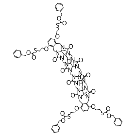 C[C@]12N3Cc4c(OCCSC(=O)OCc5ccccc5)ccc(OCCSC(=O)OCc5ccccc5)c4CN1C(=O)N1CN4C(=O)N5CN6C(=O)N7CN8C(=O)N9Cc%10c(OCCSC(=O)OCc%11ccccc%11)ccc(OCCSC(=O)OCc%11ccccc%11)c%10CN%10C(=O)N(CN%11C(=O)N(CN%12C(=O)N(CN(C3=O)[C@]12C)[C@@H]4[C@H]%125)[C@@H]6[C@H]%117)[C@]8(C)[C@@]9%10C